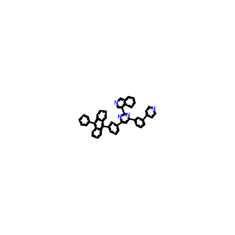 c1ccc(-c2c3ccccc3c(-c3cccc(-c4cc(-c5cccc(-c6ccncc6)c5)nc(-c5cncc6ccccc56)n4)c3)c3ccccc23)cc1